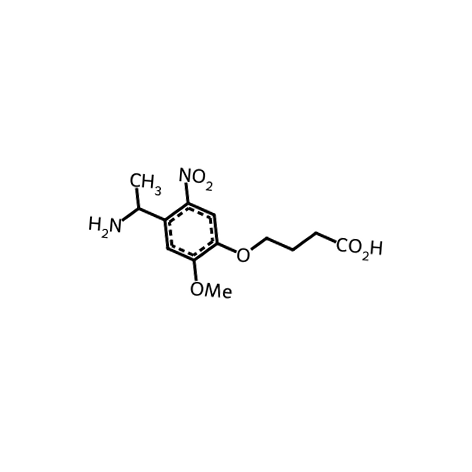 COc1cc(C(C)N)c([N+](=O)[O-])cc1OCCCC(=O)O